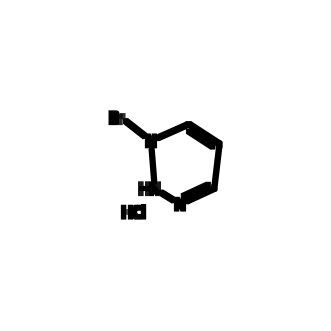 BrN1C=CC=NN1.Cl